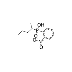 CCCC(C)P(=O)(O)c1ccccc1[N+](=O)[O-]